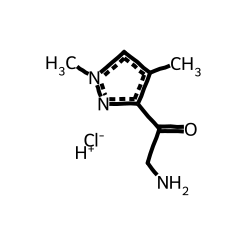 Cc1cn(C)nc1C(=O)CN.[Cl-].[H+]